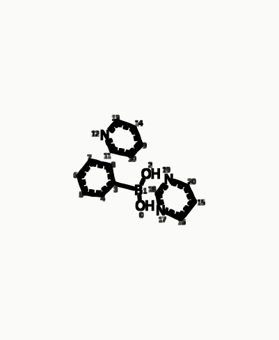 OB(O)c1ccccc1.c1ccncc1.c1cncnc1